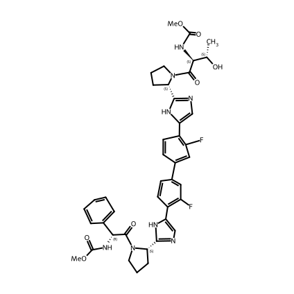 COC(=O)N[C@H](C(=O)N1CCC[C@H]1c1ncc(-c2ccc(-c3ccc(-c4cnc([C@@H]5CCCN5C(=O)[C@H](NC(=O)OC)c5ccccc5)[nH]4)c(F)c3)cc2F)[nH]1)[C@H](C)O